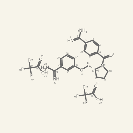 N=C(N)c1ccc(C(=O)N2CCC[C@@H]2COc2cccc(C(=N)N)c2)cc1.O=C(O)C(F)(F)F.O=C(O)C(F)(F)F